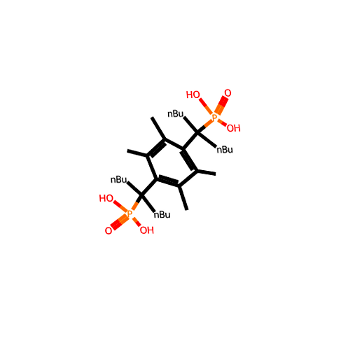 CCCCC(CCCC)(c1c(C)c(C)c(C(CCCC)(CCCC)P(=O)(O)O)c(C)c1C)P(=O)(O)O